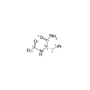 CCC(=O)N[C@@H](CC(C)C)C(N)=O